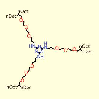 CCCCCCCCCCC(CCCCCCCC)COCCOCCOCCCNc1nc(NCCCOCCOCCOCC(CCCCCCCC)CCCCCCCCCC)nc(NCCCOCCOCCOCC(CCCCCCCC)CCCCCCCCCC)n1